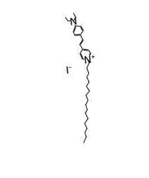 CCCCCCCCCCCCCCCCCC[n+]1ccc(/C=C/c2ccc(N(CC)CC)cc2)cc1.[I-]